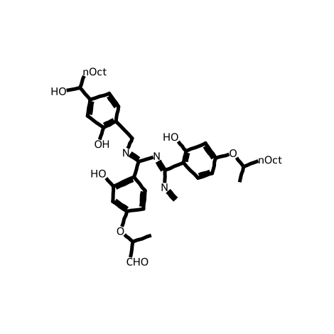 C=N/C(=N\C(=N/Cc1ccc(C(O)CCCCCCCC)cc1O)c1ccc(OC(C)C=O)cc1O)c1ccc(OC(C)CCCCCCCC)cc1O